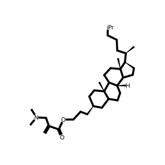 C=C(CN(C)C)C(=O)OCCC[C@H]1CC[C@@]2(C)C(CC[C@@H]3C2CC[C@@]2(C)C3CC[C@@H]2[C@H](C)CCCC(C)C)C1